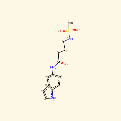 CC(C)(C)S(=O)(=O)NCCCC(=O)Nc1ccc2[nH]ccc2c1